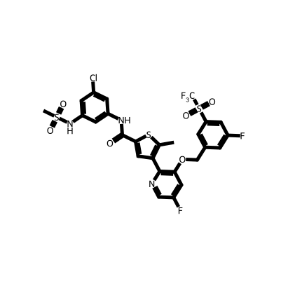 Cc1sc(C(=O)Nc2cc(Cl)cc(NS(C)(=O)=O)c2)cc1-c1ncc(F)cc1OCc1cc(F)cc(S(=O)(=O)C(F)(F)F)c1